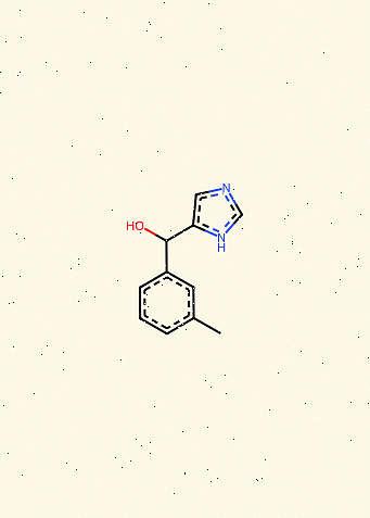 Cc1cccc(C(O)c2cnc[nH]2)c1